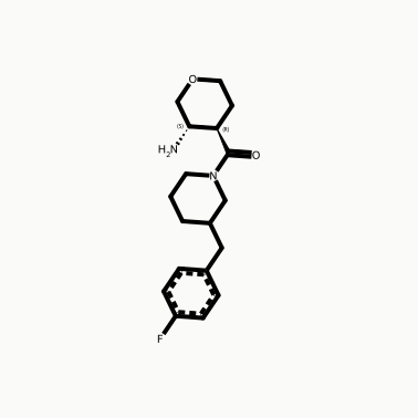 N[C@@H]1COCC[C@H]1C(=O)N1CCCC(Cc2ccc(F)cc2)C1